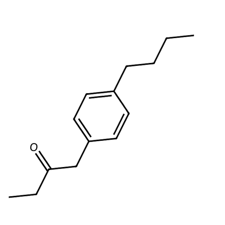 CCCCc1ccc(CC(=O)CC)cc1